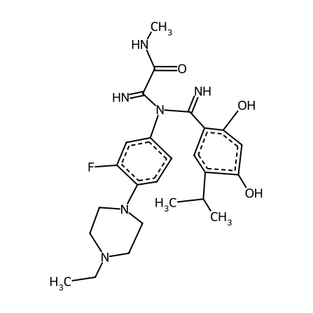 CCN1CCN(c2ccc(N(C(=N)C(=O)NC)C(=N)c3cc(C(C)C)c(O)cc3O)cc2F)CC1